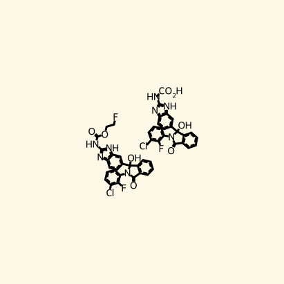 O=C(Nc1nc2ccc(C3(O)c4ccccc4C(=O)N3c3cccc(Cl)c3F)cc2[nH]1)OCCF.O=C(O)Nc1nc2ccc(C3(O)c4ccccc4C(=O)N3c3cccc(Cl)c3F)cc2[nH]1